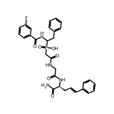 NC(=O)[C@H](C/C=C/c1ccccc1)NC(=O)CNC(=O)CP(=O)(O)C(Cc1ccccc1)NC(=O)c1cccc(F)c1